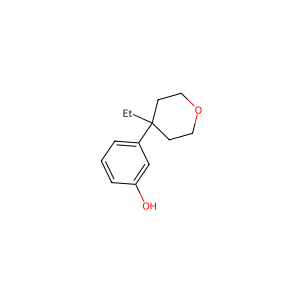 CCC1(c2cccc(O)c2)CCOCC1